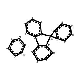 c1ccc2c(c1)-c1ccccc1C21c2ccccc21.c1ccccc1